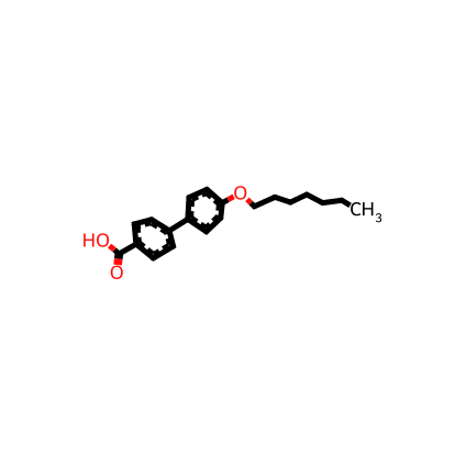 CCCCCCCOc1ccc(-c2ccc(C(=O)O)cc2)cc1